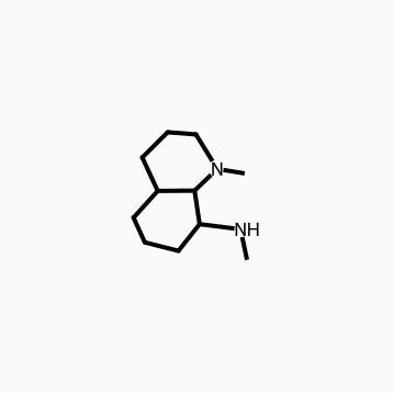 CNC1CCCC2CCCN(C)C21